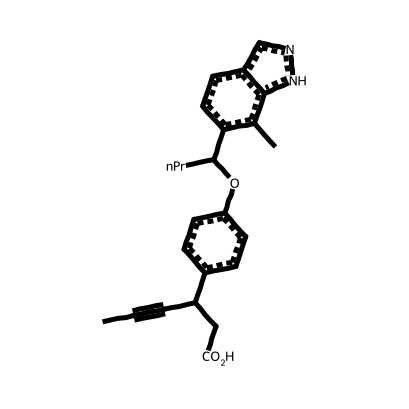 CC#CC(CC(=O)O)c1ccc(OC(CCC)c2ccc3cn[nH]c3c2C)cc1